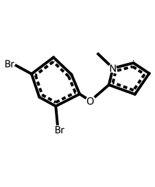 Cn1[c]ccc1Oc1ccc(Br)cc1Br